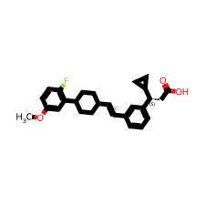 COc1ccc(F)c(C2CCC(/C=C/c3cccc([C@@H](CC(=O)O)C4CC4)c3)CC2)c1